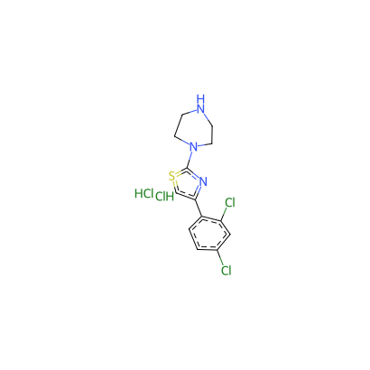 Cl.Cl.Clc1ccc(-c2csc(N3CCNCC3)n2)c(Cl)c1